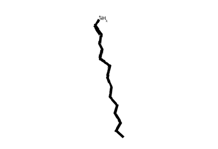 CCCCCCCCCCCCC=C[SiH3]